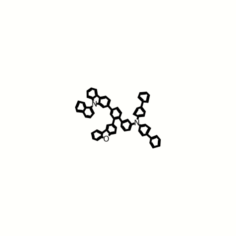 c1ccc(-c2ccc(N(c3ccc(-c4ccccc4)cc3)c3cccc(-c4ccc(-c5ccc6c7ccccc7n(-c7cccc8ccccc78)c6c5)cc4-c4ccc5oc6ccccc6c5c4)c3)cc2)cc1